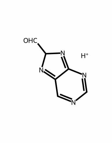 O=CC1N=c2cncnc2=N1.[H+]